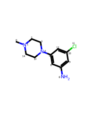 CN1CCN(c2cc(N)cc(Cl)c2)CC1